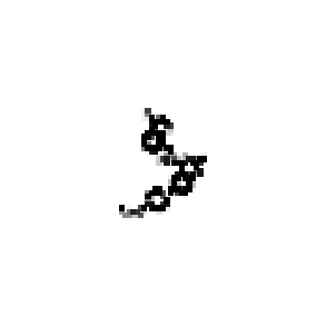 CSN1CCP(c2ccc3nc(C)nc(NCc4cccc5c(F)coc45)c3c2)CC1